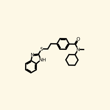 CN(C(=O)c1ccc(CCSc2nc3ccccc3[nH]2)cc1)C1CCCCC1